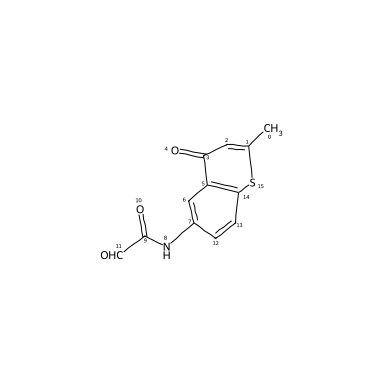 Cc1cc(=O)c2cc(NC(=O)C=O)ccc2s1